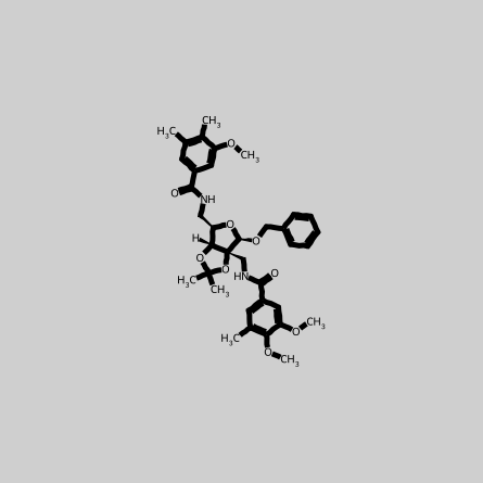 COc1cc(C(=O)NC[C@H]2O[C@@H](OCc3ccccc3)[C@]3(CNC(=O)c4cc(C)c(OC)c(OC)c4)OC(C)(C)O[C@H]23)cc(C)c1C